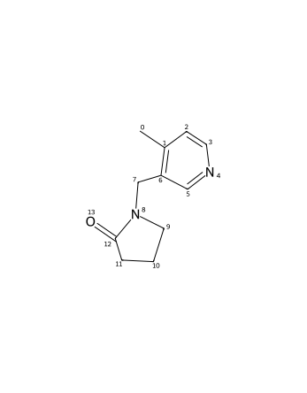 Cc1ccncc1CN1CCCC1=O